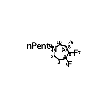 CCCCCN1CCC(F)C(F)[C@@H](C)C1